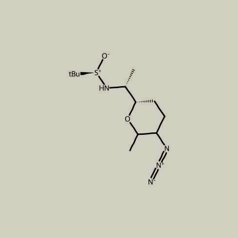 CC1O[C@H]([C@@H](C)N[S@+]([O-])C(C)(C)C)CCC1N=[N+]=[N-]